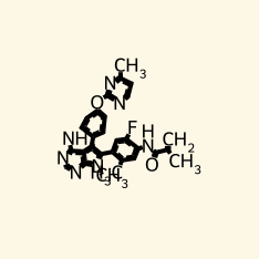 C=C(C)C(=O)Nc1cc(C)c(-c2c(-c3ccc(Oc4nccc(C)n4)cc3)c3c(N)ncnc3n2C)cc1F